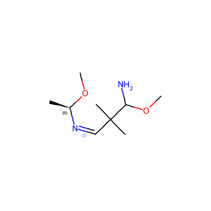 COC(N)C(C)(C)/C=N\[C@@H](C)OC